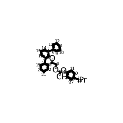 CC(OCCOc1c(-c2ccccc2)cccc1-c1ccccc1)Oc1ccc(C(C)C)cc1